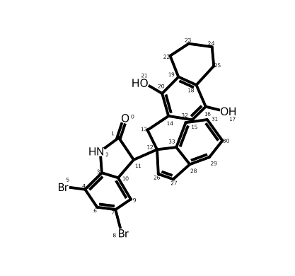 O=C1Nc2c(Br)cc(Br)cc2C1C1(Cc2cc(O)c3c(c2O)CCCC3)C=Cc2ccccc21